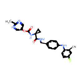 Cc1ncc(OC(=O)NC2(C(=O)NCc3ccc(Nc4ccc(F)cc4C#N)cc3)CC2)cn1